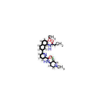 C=CC(=O)Nc1c(OC)ccc2ccc(-c3cccc(C(=O)NC4CCN(C)C[C@@H]4F)n3)cc12